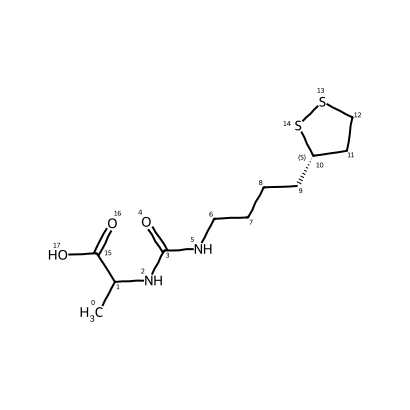 CC(NC(=O)NCCCC[C@H]1CCSS1)C(=O)O